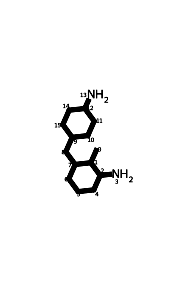 CC1C(N)CCCC1CC1CCC(N)CC1